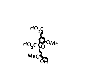 C=C/C(O)=C(\C=C\[C@@H]1Oc2c(OC)cc(/C=C/C(=O)O)cc2[C@H]1C(=O)O)OC